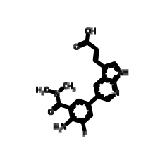 CN(C)C(=O)c1cc(-c2cnc3[nH]cc(/C=C/C(=O)O)c3c2)cc(F)c1N